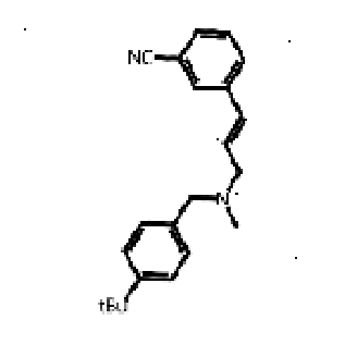 CN(CC=Cc1cccc(C#N)c1)Cc1ccc(C(C)(C)C)cc1